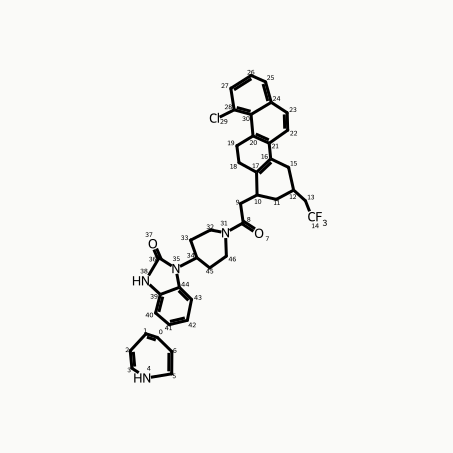 C1=CC=CNC=C1.O=C(CC1CC(CC(F)(F)F)CC2=C1CCc1c2ccc2cccc(Cl)c12)N1CCC(n2c(=O)[nH]c3ccccc32)CC1